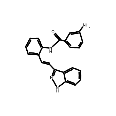 Nc1cccc(C(=O)Nc2ccccc2/C=C/c2n[nH]c3ccccc23)c1